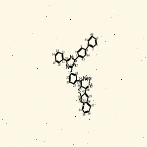 c1ccc(-c2ccc(-c3nc(-c4ccccc4)nc(-c4cccc(-c5nnnc6c5sc5nc7ccccc7cc56)c4)n3)cc2)cc1